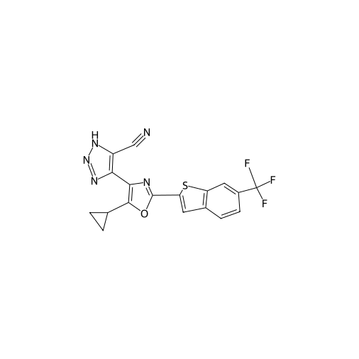 N#Cc1[nH]nnc1-c1nc(-c2cc3ccc(C(F)(F)F)cc3s2)oc1C1CC1